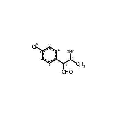 CC(Br)C(C=O)c1ccc(Cl)cc1